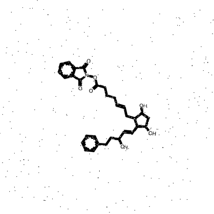 O=C(CCCC=CCC1C(O)CC(O)C1C=CC(O)CCc1ccccc1)ON1C(=O)c2ccccc2C1=O